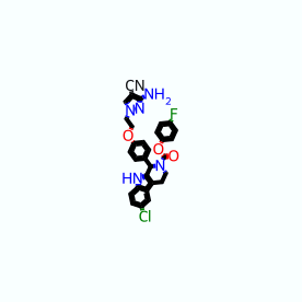 N#Cc1cn(CCOc2ccc(C3c4[nH]c5ccc(Cl)cc5c4CCN3C(=O)Oc3ccc(F)cc3)cc2)nc1N